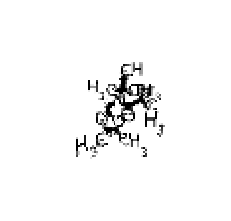 C#CC(C)(C)N(CC1OC(C)C(C)O1)C(=O)C(C)Br